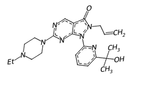 C=CCn1c(=O)c2cnc(N3CCN(CC)CC3)nc2n1-c1cccc(C(C)(C)O)n1